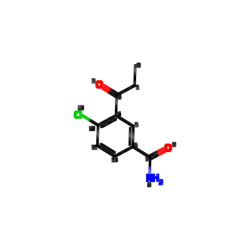 CCC(=O)c1cc(C(N)=O)ccc1Cl